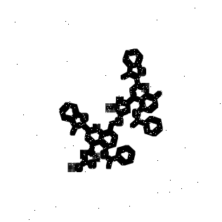 Cc1c(-c2cc(-c3cc(OCc4ccc(OC(C)c5ccccc5)c5c(-c6noc(O)n6)cc(-c6oc7ccccc7c6C)nc45)[nH]n3)c3c(OC(C)c4ccccc4)ccc(C)c3n2)oc2ccccc12